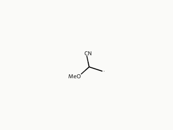 [CH2]C(C#N)OC